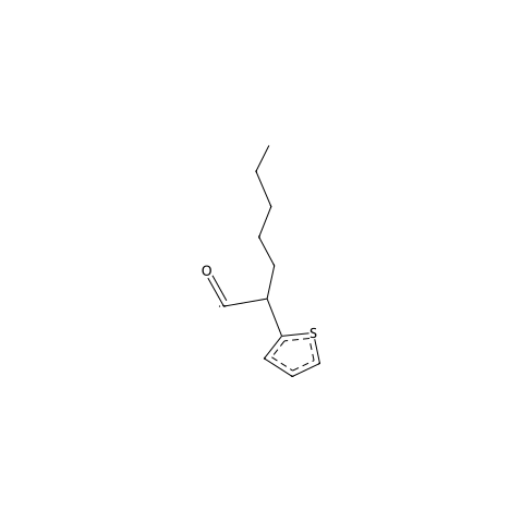 CCCCCC([C]=O)c1cccs1